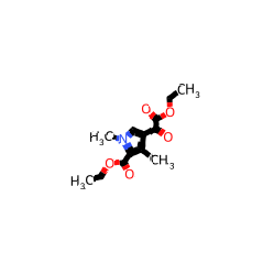 CCOC(=O)C(=O)c1cn(C)c(C(=O)OCC)c1C